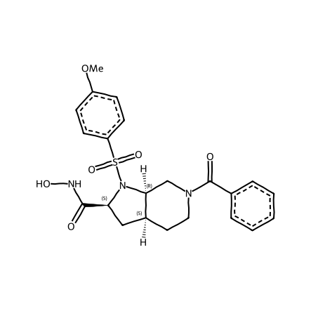 COc1ccc(S(=O)(=O)N2[C@H](C(=O)NO)C[C@@H]3CCN(C(=O)c4ccccc4)C[C@@H]32)cc1